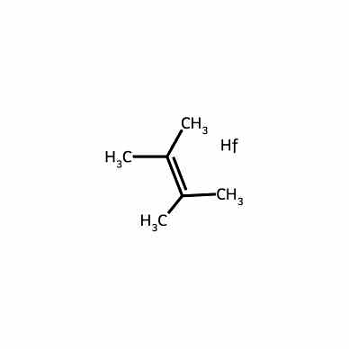 CC(C)=C(C)C.[Hf]